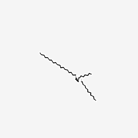 CCCCCCCCCCCCCCCCCCCN1C=CN(CCCCCCCCCCC)C1CCCCCC